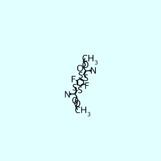 CCOOCC(C#N)=C1Sc2c(F)c3c(c(F)c2S1)SC(=C(C#N)C(=O)OCC)S3